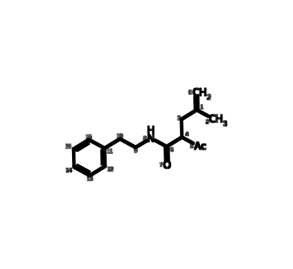 C=C(C)CC(C(C)=O)C(=O)NCCc1ccccc1